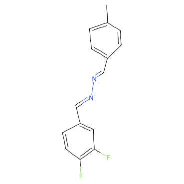 Cc1ccc(/C=N/N=C/c2ccc(F)c(F)c2)cc1